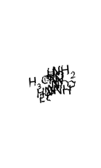 CCc1cc(Nc2cc(Cc3ccccc3)nc(N3C[C@@]4(C)C[C@H]4[C@H]3C(N)=O)n2)n[nH]1